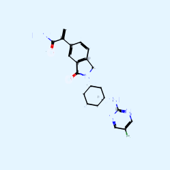 C=C(C(N)=O)c1ccc2c(c1)C(=O)N([C@H]1CCC[C@@H](Nc3ncc(Br)cn3)C1)C2